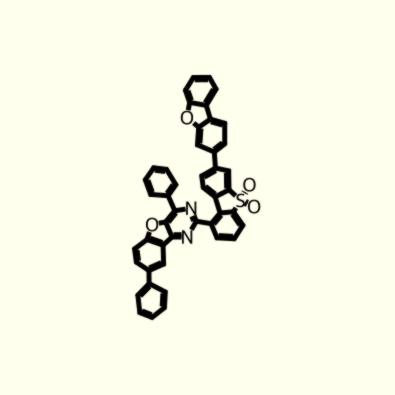 O=S1(=O)c2cc(-c3ccc4c(c3)oc3ccccc34)ccc2-c2c(-c3nc(-c4ccccc4)c4oc5ccc(-c6ccccc6)cc5c4n3)cccc21